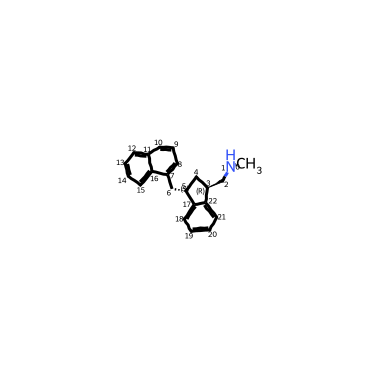 CNC[C@@H]1C[C@@H](Cc2cccc3ccccc23)c2ccccc21